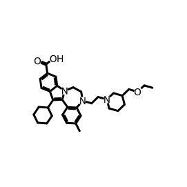 CCOCC1CCCN(CCN2CCn3c(c(C4CCCCC4)c4ccc(C(=O)O)cc43)-c3ccc(C)cc32)C1